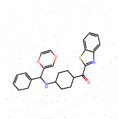 O=C(c1nc2ccccc2s1)C1CCC(NC(C2=CC=CCC2)C2=COC=CO2)CC1